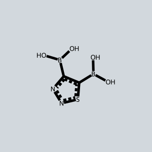 OB(O)c1nnsc1B(O)O